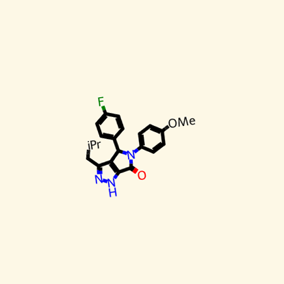 COc1ccc(N2C(=O)c3[nH]nc(CC(C)C)c3C2c2ccc(F)cc2)cc1